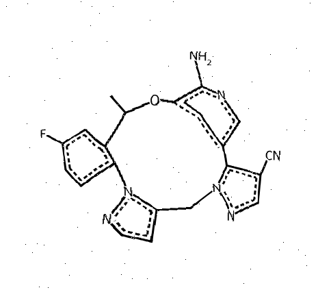 CC1Oc2cc(cnc2N)-c2c(C#N)cnn2Cc2ccnn2-c2ccc(F)cc21